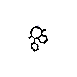 C=C1/C=C\C=C/C(=C)C(c2ccccc2)C2CC=CC=C12